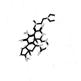 CCN(CC)CCN(C)C=C1C(=O)OC(COC)C2(C)C1=C(O)C(=O)C1=C2C(OC(C)=O)CC2(C)C(O)CCC12